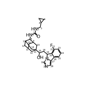 O=C(NCC1CC1)NC1C2CC3CC1CC(C(O)CC1c4c(F)cccc4-c4cncn41)(C3)C2